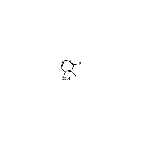 O=C(O)c1[c]ccc(F)c1Cl